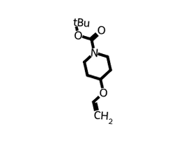 C=COC1CCN(C(=O)OC(C)(C)C)CC1